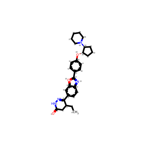 CCC1CC(=O)NN=C1c1ccc2nc(-c3ccc(O[C@H]4CCC[C@@H]4N4CCCCC4)cc3)oc2c1